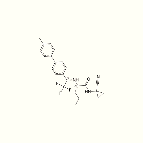 CCC[C@H](N[C@@H](c1ccc(-c2ccc(C)cc2)cc1)C(F)(F)F)C(=O)NC1(C#N)CC1